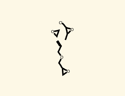 C1CO1.C=CCOCC1CO1.CC1OC1Cl